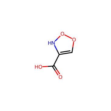 O=C(O)C1=COON1